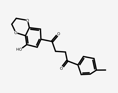 Cc1ccc(C(=O)CCC(=O)c2cc(O)c3c(c2)OCCO3)cc1